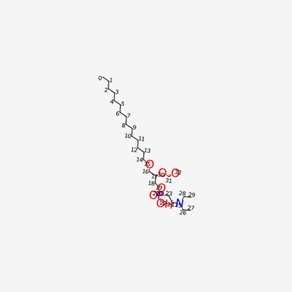 CCCCCCCCCCCCCCCOCC(COP(=O)(O)CCN(CC)CC)OC=O